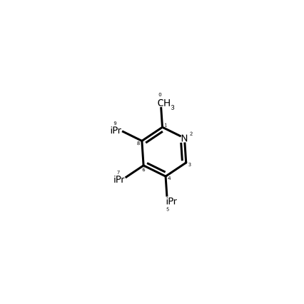 Cc1ncc(C(C)C)c(C(C)C)c1C(C)C